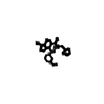 CCn1ncc2c(N[C@@H]3CCC[C@H](O)C3)c(C(=O)NCc3nccs3)cnc21